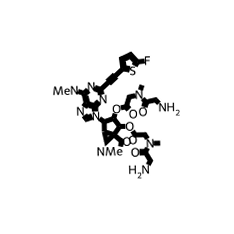 CNC(=O)C12CC1C(n1cnc3c(NC)nc(C#Cc4ccc(F)s4)nc31)C(OC(=O)CN(C)C(=O)CN)C2OC(=O)CN(C)C(=O)CN